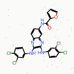 O=C(Nc1ccc2nc(Nc3ccc(Cl)c(Cl)c3)c(Nc3ccc(Cl)c(Cl)c3)nc2c1)c1ccco1